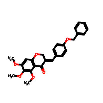 COc1cc2c(c(OC)c1OC)C(=O)/C(=C/c1ccc(OCc3ccccc3)cc1)CO2